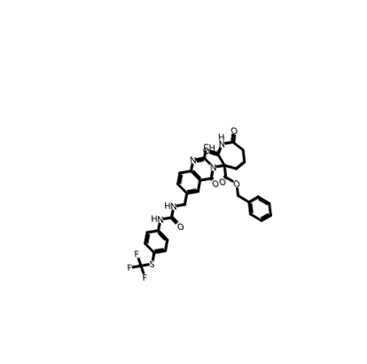 Cc1nc2ccc(CNC(=O)Nc3ccc(SC(F)(F)F)cc3)cc2c(=O)n1C1(C(=O)OCc2ccccc2)CCCC(=O)NC1=O